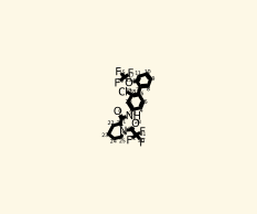 O=C(Nc1ccc(-c2ccccc2OC(F)(F)F)c(Cl)c1)C1CCCCN1C(=O)C(F)(F)F